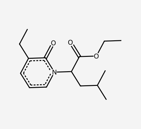 CCOC(=O)C(CC(C)C)n1cccc(CC)c1=O